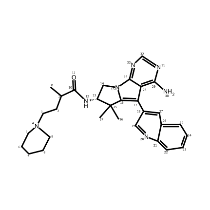 CC(CCN1CCCCC1)C(=O)N[C@@H]1Cn2c(c(-c3cnc4ccccc4c3)c3c(N)ncnc32)C1(C)C